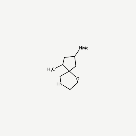 CNC1CC(C)C2(CNCCO2)C1